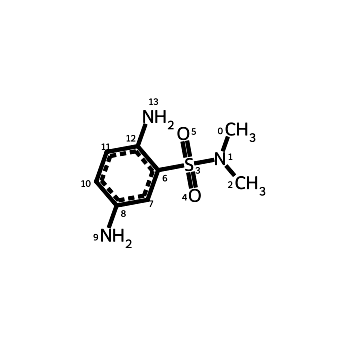 CN(C)S(=O)(=O)c1cc(N)ccc1N